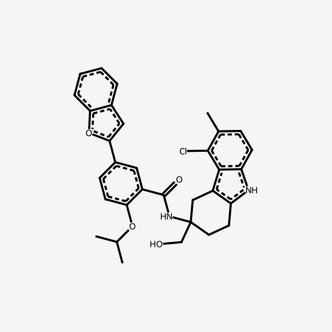 Cc1ccc2[nH]c3c(c2c1Cl)CC(CO)(NC(=O)c1cc(-c2cc4ccccc4o2)ccc1OC(C)C)CC3